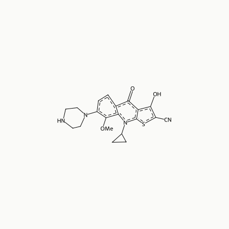 COc1c(N2CCNCC2)ccc2c(=O)c3c(O)c(C#N)sc3n(C3CC3)c12